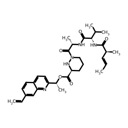 C=Cc1ccc2ccc([C@@H](C)OC(=O)[C@@H]3CCCN(C(=O)[C@H](C)NC(=O)[C@@H](NC(=O)[C@@H](C)/C=C/C)C(C)C)N3)nc2c1